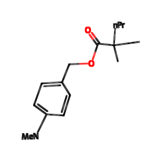 CCCC(C)(C)C(=O)OCc1ccc(NC)cc1